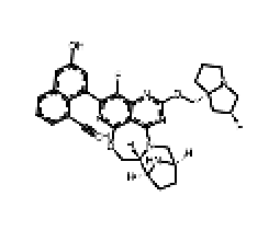 C#Cc1cccc2cc(O)cc(-c3nc4c5c(nc(OC[C@]67CCCN6C[C@@H](F)C7)nc5c3F)N3C[C@H]5CC[C@H](N5)[C@@H]3CO4)c12